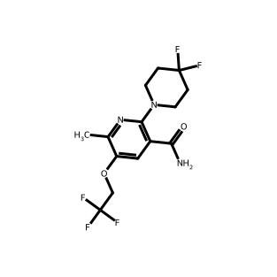 Cc1nc(N2CCC(F)(F)CC2)c(C(N)=O)cc1OCC(F)(F)F